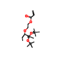 C=CC(=O)OCCOC(CC)[Si](C)(O[Si](C)(C)C)O[Si](C)(C)C